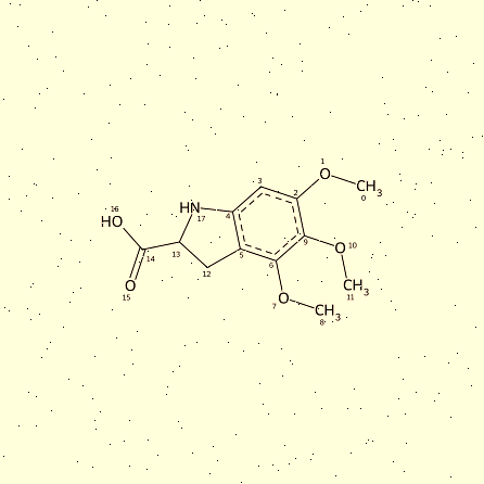 COc1cc2c(c(OC)c1OC)CC(C(=O)O)N2